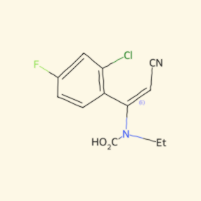 CCN(C(=O)O)/C(=C/C#N)c1ccc(F)cc1Cl